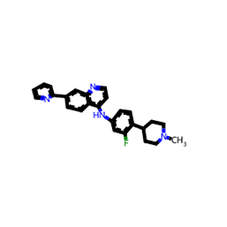 CN1CCC(c2ccc(Nc3ccnc4cc(-c5ccccn5)ccc34)cc2F)CC1